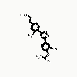 Cc1cc(CCC(=O)O)ccc1-c1nnc(-c2ccc(OC(C)C(F)(F)F)c(C#N)c2)s1